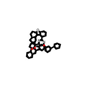 c1ccc(-c2cccc(-c3nc(-c4ccccc4)nc(-c4cccc5oc6ccc7ccc(-n8c9ccccc9c9cc%10ccccc%10cc98)cc7c6c45)n3)c2)cc1